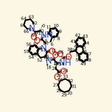 C[C@H](NC(=O)[C@H](Cc1ccccc1)N1C(=O)[C@@H](N(C)C(=O)[C@H](CC(=O)OC2CCCCCCC2)NC(=O)OCC2c3ccccc3-c3ccccc32)Cc2ccccc21)C(=O)N1CCCCC1